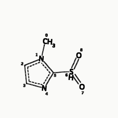 Cn1ccnc1[SH](=O)=O